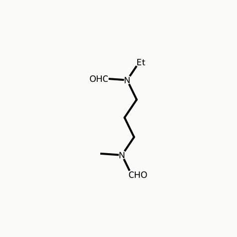 CCN(C=O)CCCN(C)C=O